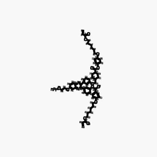 C=CC(=O)OCCCCCCOc1ccc(OC(=O)C2CCC(COc3cccc(-c4nc5ccc(OCCOCCC)cc5nc4-c4cccc(OC(=O)c5ccc(OCCCCCCOC(=O)C=C)cc5)c4)c3)CC2)cc1